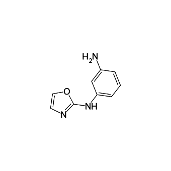 Nc1cccc(Nc2ncco2)c1